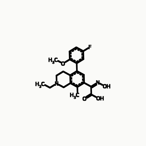 CCN1CCc2c(-c3cc(F)ccc3OC)cc(/C(=N/O)C(=O)O)c(C)c2C1